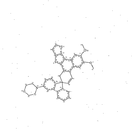 COc1cc2c3c(c4sc5ccsc5c4c2cc1OC)CC(c1ccccc1)(c1ccc(N2CCOCC2)cc1)C=C3